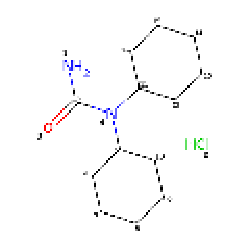 Cl.NC(=O)N(C1CCCCC1)C1CCCCC1